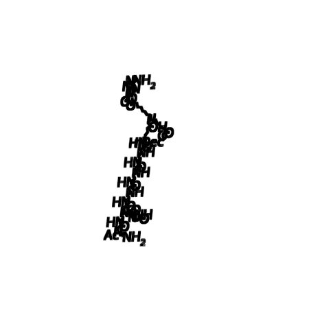 CCCCCCCCCCCOC(=O)CCCCCN(CCCCCCCC(=O)OC(=O)Cn1cnc2c(N)ncnc21)CC(O)CCCCNC(=O)CNCCNC(=O)CNCCNC(=O)CNCCNC(=O)CN(CCNC(=O)CN(CCN)C(C)=O)C(=O)Cn1ccc(=O)[nH]c1=O